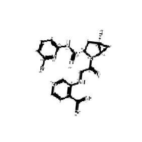 CC(=O)C(=N)c1ccncc1NCC(=O)N1C2C[C@@H]2C[C@H]1C(=O)Nc1cccc(Br)n1